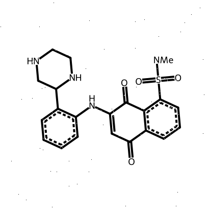 CNS(=O)(=O)c1cccc2c1C(=O)C(Nc1ccccc1C1CNCCN1)=CC2=O